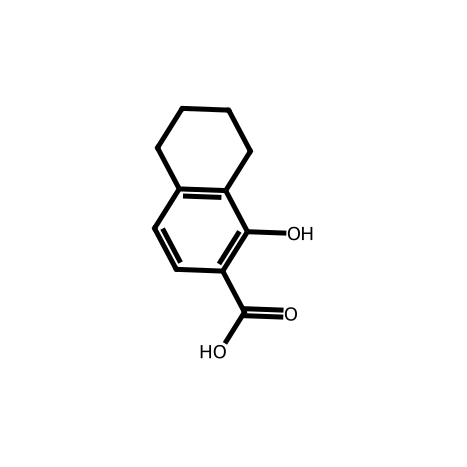 O=C(O)c1ccc2c(c1O)CCCC2